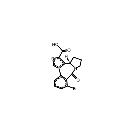 O=C(O)c1ncn2c1[C@@H]1CCCN1C(=O)c1c(Br)cccc1-2